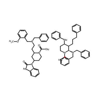 COc1ccccc1CN(CCC1CC(n2c(=O)[nH]c3ccccc32)CCN1C(=O)O)Cc1ccccc1.O=C(O)N1CCC(Nc2ccccc2)C(CCCc2ccccc2)[C@H]1N(Cc1ccccc1)Cc1ccccc1